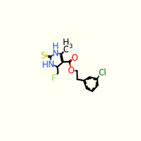 CC1=C(C(=O)OCCc2cccc(Cl)c2)C(CF)NC(=S)N1